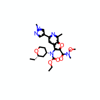 CCOC(=O)N(c1c(C(=O)N(C)OC)oc2c(C)nc(-c3cnn(C)c3)cc12)[C@H]1CCO[C@@H](CC)C1